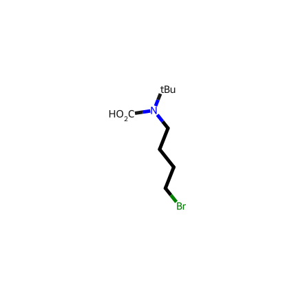 CC(C)(C)N(CCCCBr)C(=O)O